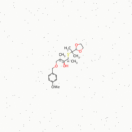 COc1ccc(COC[C@H](C)[C@H](O)[C@@H](C)SC(C)(C)C2OCCO2)cc1